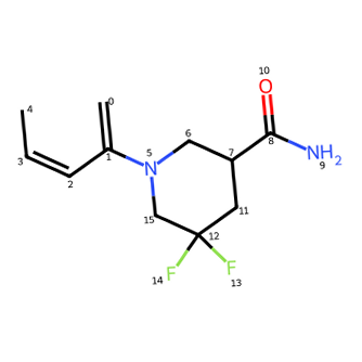 C=C(/C=C\C)N1CC(C(N)=O)CC(F)(F)C1